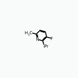 Cc1ccc(F)c(C(C)C)n1